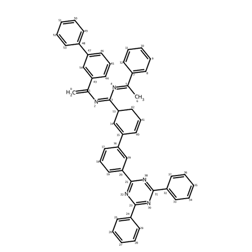 C=C(/N=C(\N=C(/C)c1ccccc1)C1C=C(c2cccc(-c3nc(-c4ccccc4)nc(-c4ccccc4)n3)c2)C=CC1)c1cccc(-c2ccccc2)c1